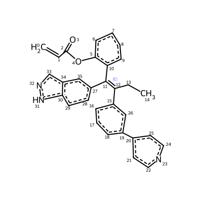 C=CC(=O)Oc1ccccc1/C(=C(\CC)c1cccc(-c2ccncc2)c1)c1ccc2[nH]ncc2c1